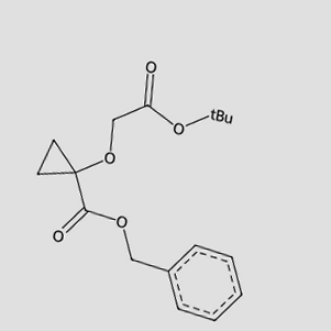 CC(C)(C)OC(=O)COC1(C(=O)OCc2ccccc2)CC1